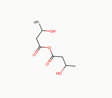 CCCC(O)CC(=O)OC(=O)CC(C)O